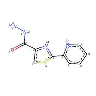 NNC(=O)c1csc(-c2ccccn2)n1